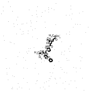 COC(=O)NC(CC/C=C/C(=O)N(C)C)C(=O)Nc1cccn(Cc2nc3c(Oc4ccccc4)ncnc3n2C(=O)OC(C)(C)C)c1=O